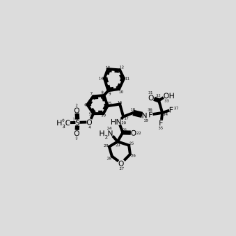 CS(=O)(=O)Oc1ccc(-c2ccccc2)c(CC(C#N)NC(=O)C2(N)CCOCC2)c1.O=C(O)C(F)(F)F